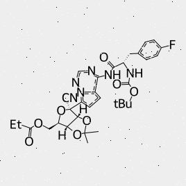 CCC(=O)OC[C@H]1O[C@@](C#N)(c2ccc3c(NC(=O)[C@H](Cc4ccc(F)cc4)NC(=O)OC(C)(C)C)ncnn23)[C@@H]2OC(C)(C)O[C@@H]21